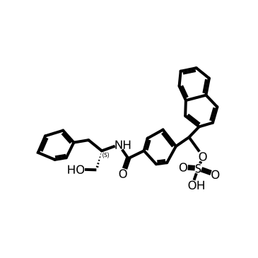 O=C(N[C@H](CO)Cc1ccccc1)c1ccc(C(OS(=O)(=O)O)c2ccc3ccccc3c2)cc1